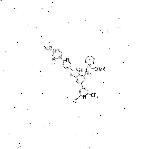 COCC1(CN(C)c2cc(-c3cc(C4CC4)nc(C(F)(F)F)c3)nc3nc(-c4cnc(N5CCN(OC(C)=O)C[C@H]5C)cn4)[nH]c23)CCCCC1